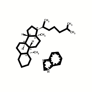 CC(C)CCCC(C)[C@H]1CC[C@H]2[C@@H]3CCC4CCCC[C@]4(C)[C@H]3CC[C@]12C.c1ccc2[nH]cnc2c1